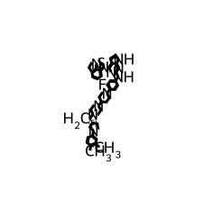 C=C([C@H]1CCN(c2ccc(C)c(C)c2)C1)N1CCN(C2CCN(c3ccc(Nc4nc(N5SN6CCc7cccc5c76)c5cc[nH]c5n4)cc3F)CC2)CC1